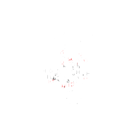 CC(=O)O[C@@]12CO[C@@H]1C[C@H](OC(=O)OCc1ccccc1)[C@@]1(C)C(=O)[C@H](OC(=O)OCc3ccccc3)C3=C(C)[C@@H](O)CC(O)([C@@H](OC(=O)c4ccccc4)[C@H]21)C3(C)C